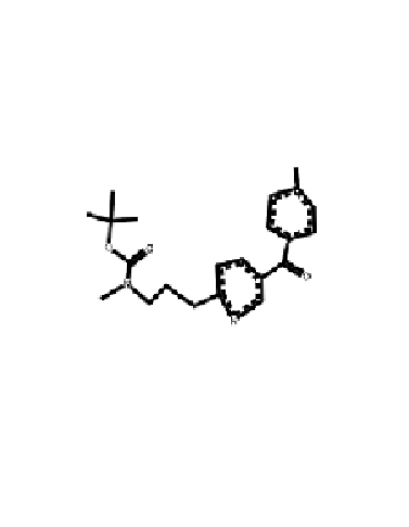 Cc1ccc(C(=O)c2ccc(CCCN(C)C(=O)OC(C)(C)C)nc2)cc1